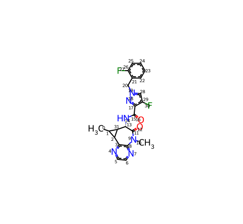 CC1C2c3nccnc3N(C)C(=O)[C@@H](NC(=O)c3nn(Cc4ccccc4F)cc3F)C12